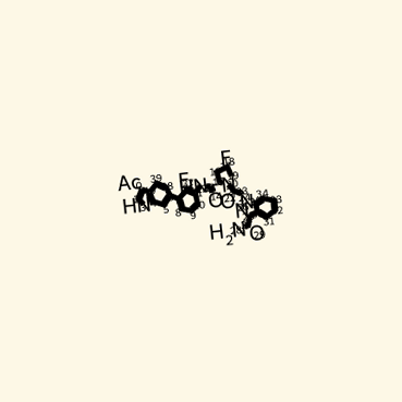 CC(=O)c1c[nH]c2cc(-c3cccc(NC(=O)[C@@H]4C[C@@H](F)CN4C(=O)Cn4nc(C(N)=O)c5ccccc54)c3F)ccc12